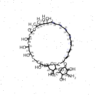 CC1OC(OC2/C=C/C=C/C=C/C=C/C=C/C=C/C=C/[C@H](C)[C@@H](O)[C@@H](C)[C@H](C)OC(=O)C[C@H](O)CC(O)CC(O)CCC[C@H](O)CC3(O)C[C@H](O)[C@@H](C(=O)O)C(C2)O3)C(O)C(N)C1O